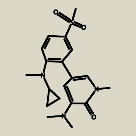 CN(C)c1cc(-c2cc(S(C)(=O)=O)ccc2N(C)C2CC2)cn(C)c1=O